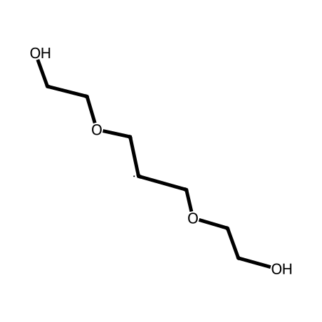 OCCOC[CH]COCCO